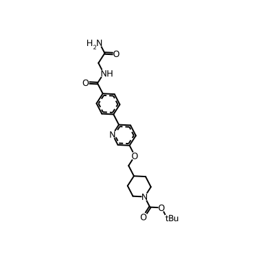 CC(C)(C)OC(=O)N1CCC(COc2ccc(-c3ccc(C(=O)NCC(N)=O)cc3)nc2)CC1